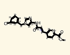 COC(=O)c1ccc(/C=C/C(=O)Nc2cn(Cc3cccc(Cl)c3)cn2)cn1